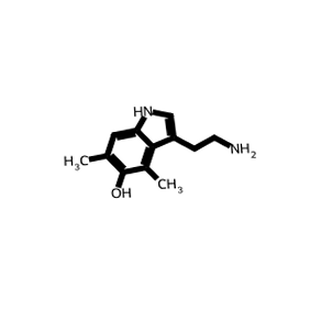 Cc1cc2[nH]cc(CCN)c2c(C)c1O